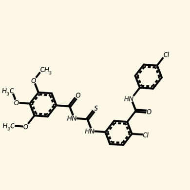 COc1cc(C(=O)NC(=S)Nc2ccc(Cl)c(C(=O)Nc3ccc(Cl)cc3)c2)cc(OC)c1OC